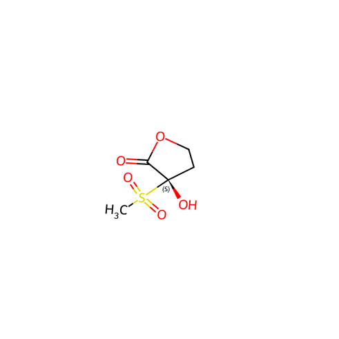 CS(=O)(=O)[C@@]1(O)CCOC1=O